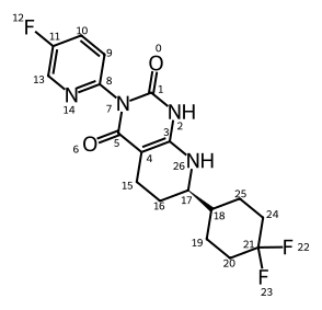 O=c1[nH]c2c(c(=O)n1-c1ccc(F)cn1)CC[C@H](C1CCC(F)(F)CC1)N2